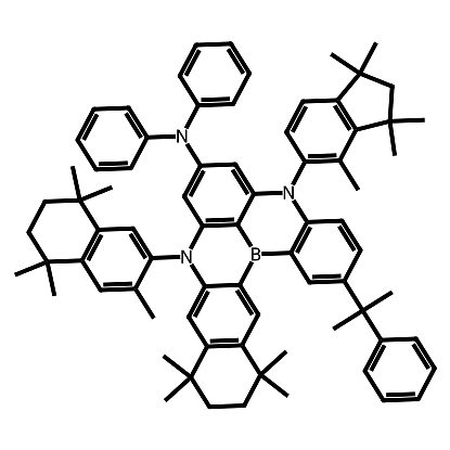 Cc1cc2c(cc1N1c3cc4c(cc3B3c5cc(C(C)(C)c6ccccc6)ccc5N(c5ccc6c(c5C)C(C)(C)CC6(C)C)c5cc(N(c6ccccc6)c6ccccc6)cc1c53)C(C)(C)CCC4(C)C)C(C)(C)CCC2(C)C